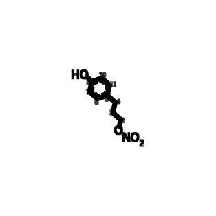 O=[N+]([O-])OCCCc1ccc(O)cc1